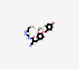 CCc1nnc(NC(=O)C(C#N)=Cc2ccc(OCc3ccc(Br)cc3F)c(OC)c2)s1